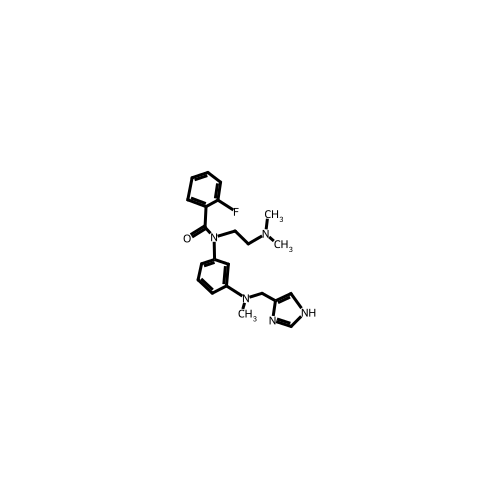 CN(C)CCN(C(=O)c1ccccc1F)c1cccc(N(C)Cc2c[nH]cn2)c1